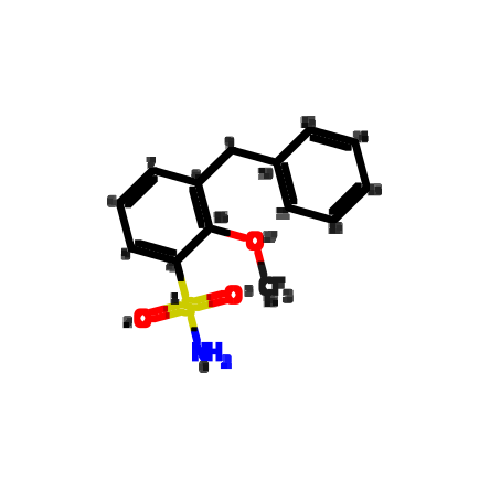 NS(=O)(=O)c1cccc(Cc2ccccc2)c1OC(F)(F)F